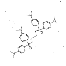 CN(C)c1ccc(P(=O)(CCCCP(=O)(c2ccc(N(C)C)cc2)c2ccc(N(C)C)cc2)c2ccc(N(C)C)cc2)cc1